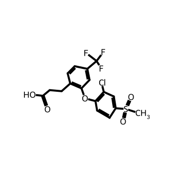 CS(=O)(=O)c1ccc(Oc2cc(C(F)(F)F)ccc2CCC(=O)O)c(Cl)c1